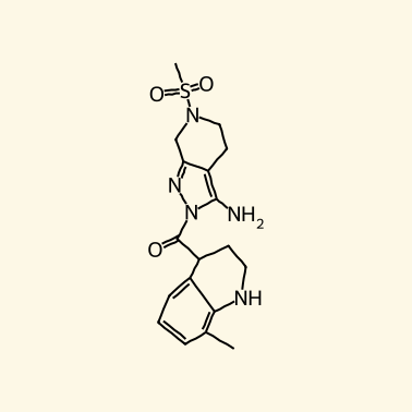 Cc1cccc2c1NCCC2C(=O)n1nc2c(c1N)CCN(S(C)(=O)=O)C2